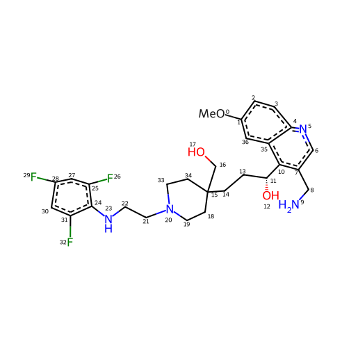 COc1ccc2ncc(CN)c([C@H](O)CCC3(CO)CCN(CCNc4c(F)cc(F)cc4F)CC3)c2c1